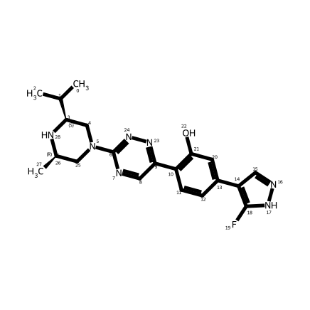 CC(C)[C@H]1CN(c2ncc(-c3ccc(-c4cn[nH]c4F)cc3O)nn2)C[C@@H](C)N1